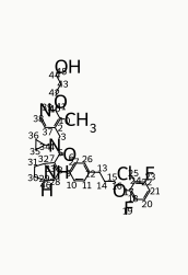 Cc1c(CN(C(=O)C2=C(c3ccc(CCCOc4c(F)ccc(F)c4Cl)cc3)C[C@@H]3CCC2N3)C2CC2)ccnc1OCCCO